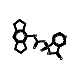 O=C(N=S1(=O)NC(=O)c2cnccc21)Nc1c2c(cc3c1CCC3)CCC2